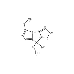 OCc1ccc(C(O)(CO)c2ccsc2)s1